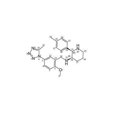 COc1ccc(-n2nnnc2C)cc1CN[C@@H]1CCCN[C@@H]1c1ccc(C)cc1